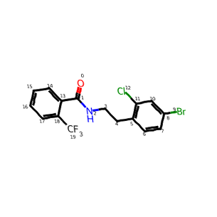 O=C(NCCc1ccc(Br)cc1Cl)c1ccccc1C(F)(F)F